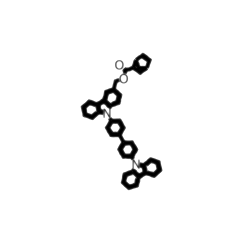 O=C(OCc1ccc2c(c1)c1ccccc1n2-c1ccc(-c2ccc(-n3c4ccccc4c4ccccc43)cc2)cc1)C1CC2C=CC1C2